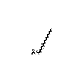 CCCCCCCCCCCCCCC/C=C\COC(C)=O